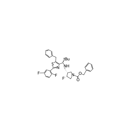 CC(C)(C)[C@@H](NC[C@@H]1CN(C(=O)OCc2ccccc2)C[C@@H]1F)c1nc(-c2cc(F)ccc2F)sc1Cc1ccccc1